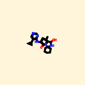 Cc1cc(Nc2ncncc2C2CC2)c(=O)n2c1C(O)NC21CCCCC1